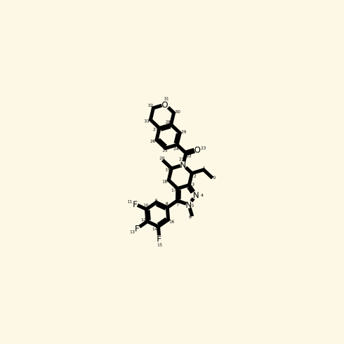 CCC1c2nn(C)c(-c3cc(F)c(F)c(F)c3)c2CC(C)N1C(=O)c1ccc2c(c1)COCC2